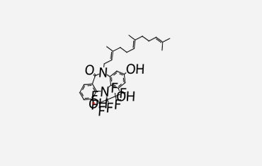 CC(C)=CCC/C(C)=C/CC/C(C)=C/CN1C(=O)c2cccc(O)c2N(C(F)(C(F)(F)F)C(F)(F)F)c2c(O)cc(O)cc21